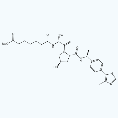 COC(=O)CCCCCC(=O)N[C@H](C(=O)N1C[C@H](O)C[C@H]1C(=O)N[C@@H](C)c1ccc(-c2scnc2C)cc1)C(C)(C)C